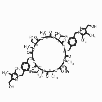 Cc1c(CO)nn(Cc2ccc(C[C@H]3OC(=O)[C@H](CC(C)C)N(C)C(=O)[C@@H](C)OC(=O)[C@H](CC(C)C)N(C)C(=O)[C@@H](Cc4ccc(Cn5nc(CO)c(C)c5C(F)(F)F)cc4)OC(=O)[C@H](CC(C)C)N(C)C(=O)[C@@H](C)OC(=O)[C@H](CC(C)C)N(C)C3=O)cc2)c1C(F)(F)F